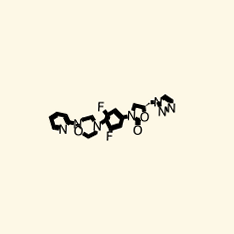 O=C1O[C@@H](Cn2ccnn2)CN1c1cc(F)c(N2CCON(c3ccccn3)CC2)c(F)c1